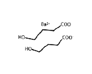 O=C([O-])CCCO.O=C([O-])CCCO.[Ba+2]